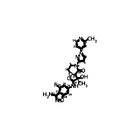 Cc1cc(-n2ccc(N3CCO[C@H]([C@@](C)(O)C(=O)Nc4cc(F)c5c(N)noc5c4)C3=O)n2)ccn1